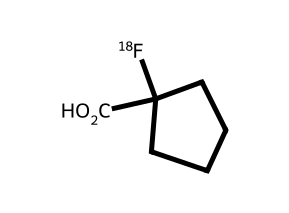 O=C(O)C1([18F])CCCC1